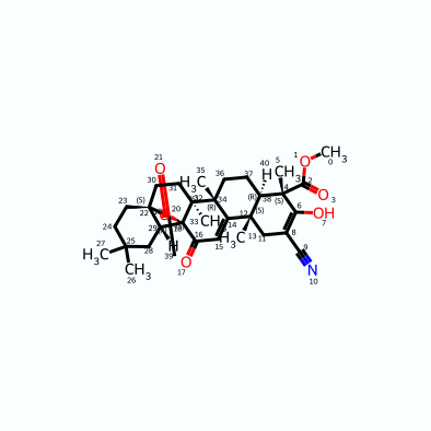 COC(=O)[C@]1(C)C(O)=C(C#N)C[C@]2(C)C3=CC(=O)[C@]45OC(=O)[C@@]6(CCC(C)(C)C[C@H]64)CC[C@@]5(C)[C@]3(C)CC[C@@H]12